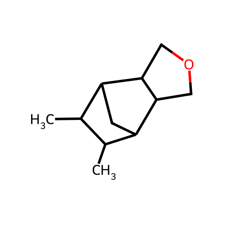 CC1C(C)C2CC1C1COCC21